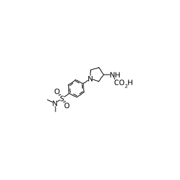 CN(C)S(=O)(=O)c1ccc(N2CCC(NC(=O)O)C2)cc1